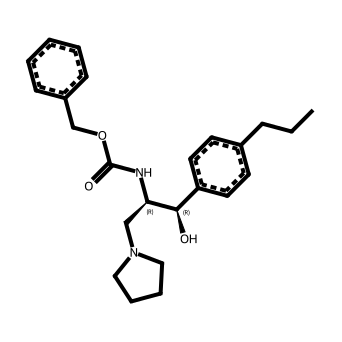 CCCc1ccc([C@@H](O)[C@@H](CN2CCCC2)NC(=O)OCc2ccccc2)cc1